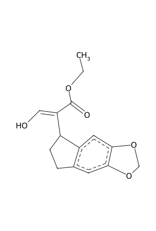 CCOC(=O)/C(=C/O)C1CCc2cc3c(cc21)OCO3